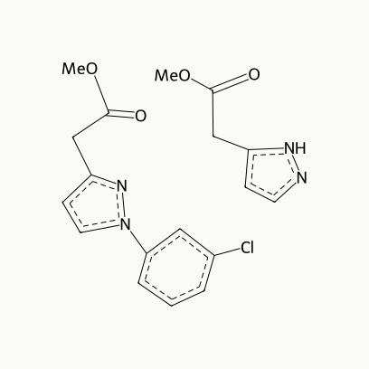 COC(=O)Cc1ccn(-c2cccc(Cl)c2)n1.COC(=O)Cc1ccn[nH]1